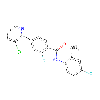 O=C(Nc1ccc(F)cc1[N+](=O)[O-])c1ccc(-c2ncccc2Cl)cc1F